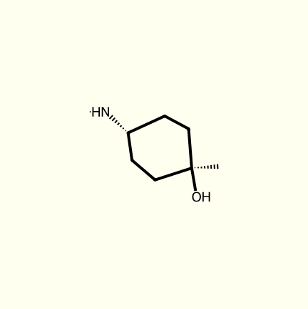 C[C@]1(O)CC[C@H]([NH])CC1